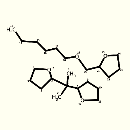 CC(C)(C1CCCO1)C1CCCO1.CCCCCCOCC1CCCO1